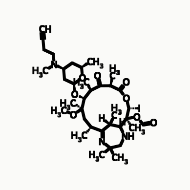 C#CCCN(C)[C@@H]1C[C@H](O[C@@H]2[C@@H](C)C(=O)[C@@H](C)C(=O)O[C@H](I)[C@@](C)(OC=O)[C@@H]3NCC(C)(C)N=C([C@H](C)C[C@@]2(C)OC)[C@@H]3C)O[C@H](C)C1